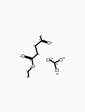 CCOC(=O)CCC(C)=O.ClC(Cl)Cl